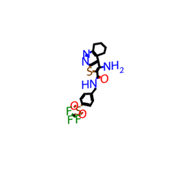 Nc1c(C(=O)NCc2ccc(S(=O)(=O)C(F)(F)F)cc2)sc2nnc3c(c12)CCCC3